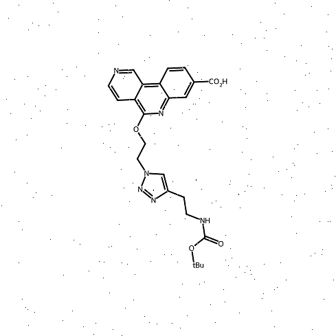 CC(C)(C)OC(=O)NCCc1cn(CCOc2nc3cc(C(=O)O)ccc3c3cnccc23)nn1